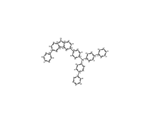 c1ccc(-c2ccc(C(c3ccc(-c4ccccc4)cc3)c3ccc(-c4ccc5sc6ccc(-c7ccccc7)cc6c5c4)cc3)cc2)cc1